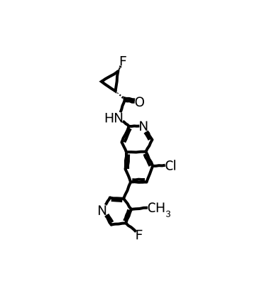 Cc1c(F)cncc1-c1cc(Cl)c2cnc(NC(=O)[C@@H]3C[C@@H]3F)cc2c1